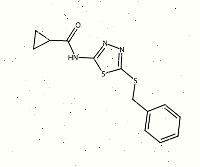 O=C(Nc1nnc(SCc2ccccc2)s1)C1CC1